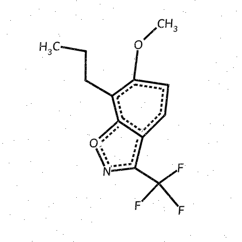 CCCc1c(OC)ccc2c(C(F)(F)F)noc12